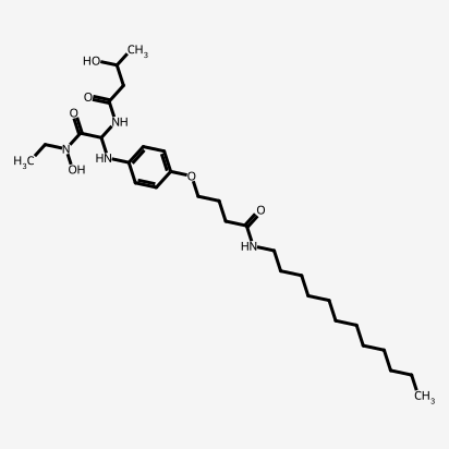 CCCCCCCCCCCCNC(=O)CCCOc1ccc(NC(NC(=O)CC(C)O)C(=O)N(O)CC)cc1